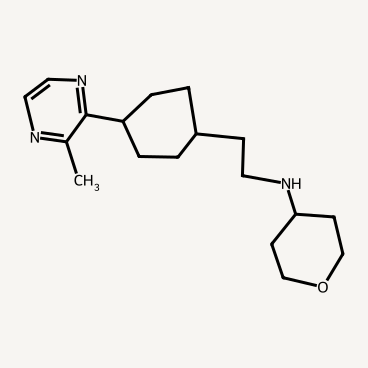 Cc1nccnc1C1CCC(CCNC2CCOCC2)CC1